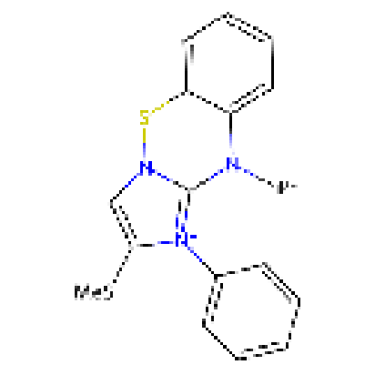 CSc1cn2c([n+]1-c1ccccc1)N(C(C)C)c1ccccc1S2